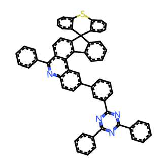 c1ccc(-c2nc(-c3ccccc3)nc(-c3cccc(-c4ccc5nc(-c6ccccc6)c6ccc7c(c6c5c4)-c4ccccc4C74c5ccccc5Sc5ccccc54)c3)n2)cc1